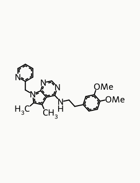 COc1ccc(CCNc2ncnc3c2c(C)c(C)n3Cc2ccccn2)cc1OC